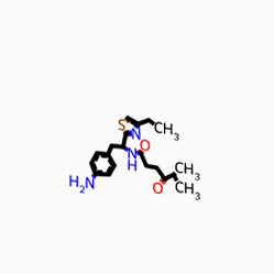 CCc1csc(C(Cc2ccc(N)cc2)NC(=O)CCC(=O)C(C)C)n1